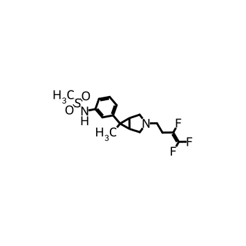 CC1(c2cccc(NS(C)(=O)=O)c2)C2CN(CCC(F)=C(F)F)CC21